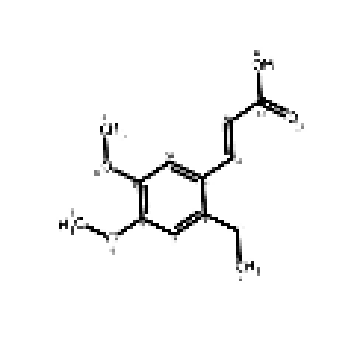 CCc1cc(OC)c(OC)cc1C=CC(=O)O